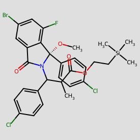 CO[C@@]1(c2ccc(Cl)cc2)c2c(F)cc(Br)cc2C(=O)N1C(c1ccc(Cl)cc1)C(C)C(=O)OCC[Si](C)(C)C